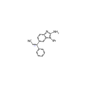 CC(C)n1c(N)nc2ccc(/C(=C\C#N)c3ccccc3)cc21